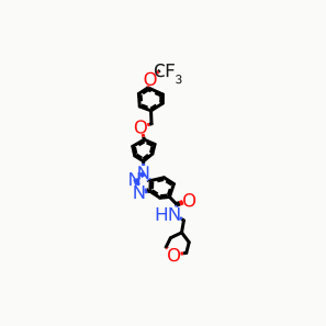 O=C(NCC1CCOCC1)c1ccc2c(c1)nnn2-c1ccc(OCc2ccc(OC(F)(F)F)cc2)cc1